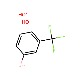 [B+2]c1cccc(C(F)(F)F)c1.[OH-].[OH-]